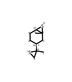 CC12C[C@@H](C3(C)CS3)CCC1S2